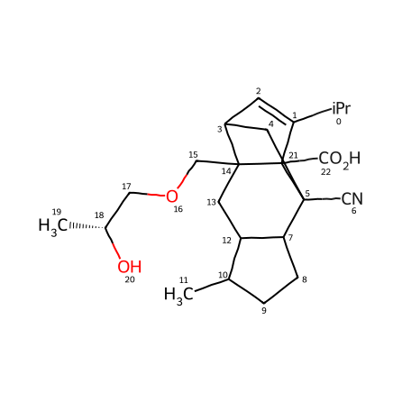 CC(C)C1=CC2CC3(C#N)C4CCC(C)C4CC2(COC[C@@H](C)O)C13C(=O)O